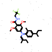 CC/C(C)=C\N(c1cc(OC)c(C(=O)NCC(F)(F)F)c(OC)c1)c1ccc(C(C)CC)cc1C